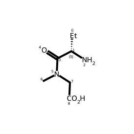 CC[C@H](N)C(=O)N(C)CC(=O)O